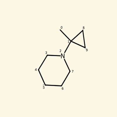 CC1(N2CC[CH]CC2)CC1